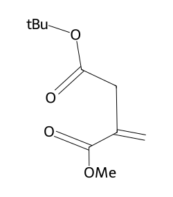 C=C(CC(=O)OC(C)(C)C)C(=O)OC